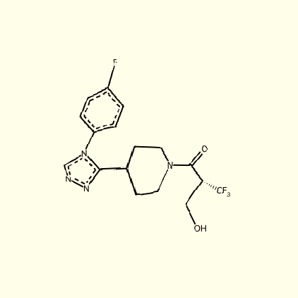 O=C([C@@H](CO)C(F)(F)F)N1CCC(c2nncn2-c2ccc(F)cc2)CC1